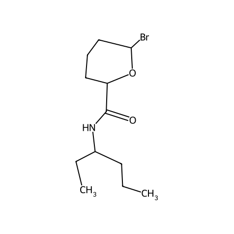 CCCC(CC)NC(=O)C1CCCC(Br)O1